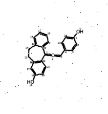 Oc1ccc(C=C=C2c3ccccc3CCc3cc(O)ccc32)cc1